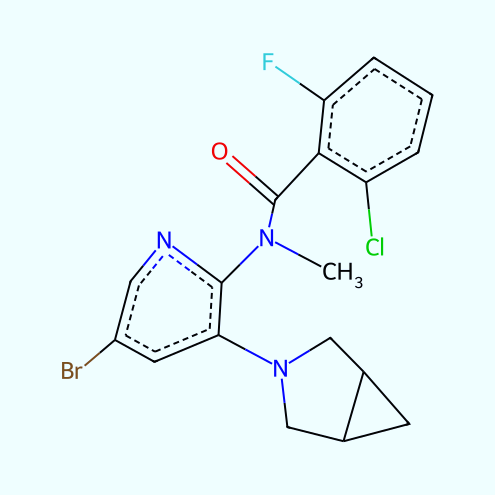 CN(C(=O)c1c(F)cccc1Cl)c1ncc(Br)cc1N1CC2CC2C1